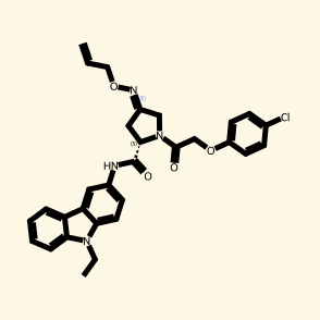 C=CCO/N=C1\C[C@@H](C(=O)Nc2ccc3c(c2)c2ccccc2n3CC)N(C(=O)COc2ccc(Cl)cc2)C1